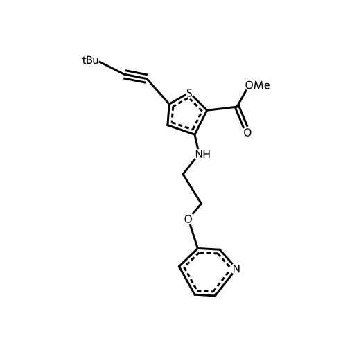 COC(=O)c1sc(C#CC(C)(C)C)cc1NCCOc1cccnc1